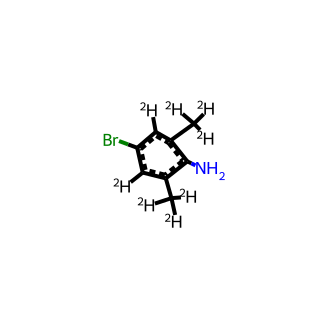 [2H]c1c(Br)c([2H])c(C([2H])([2H])[2H])c(N)c1C([2H])([2H])[2H]